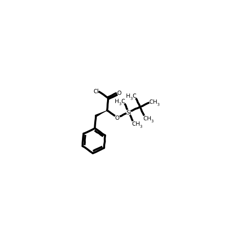 CC(C)(C)[Si](C)(C)O[C@@H](Cc1ccccc1)C(=O)Cl